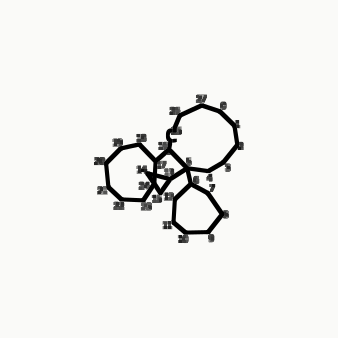 C1CCCCC(C2CCCCCC2)(C2CC2)[C](C2CCCCCCC2)CCC1